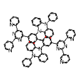 c1ccc(N2c3ccccc3N(c3cc(-c4cc(-c5ccccn5)nc(-c5cccnc5)n4)ccc3-c3ccc(-c4cc(-c5ccccn5)nc(-c5cccnc5)n4)cc3N3c4ccccc4N(c4ccccc4)c4ccccc43)c3ccccc32)cc1